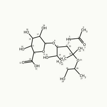 CC(=O)N[C@@H](C(OC1OC(C(=O)O)C(O)C(O)C1O)C(C)O)C(C)(C)OC(C)CO